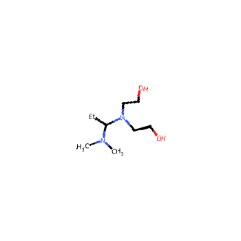 CCC(N(C)C)N(CCO)CCO